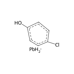 Oc1ccc(Cl)cc1.[PbH2]